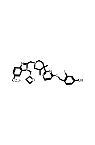 CC1CN(Cc2nc3ccc(C(=O)O)cc3n2C[C@@H]2CCO2)CCC1(C)c1nccc(OCc2ccc(C#N)cc2F)n1